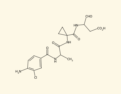 CC(NC(=O)c1ccc(N)c(Cl)c1)C(=O)NC1(C(=O)NC(C=O)CC(=O)O)CC1